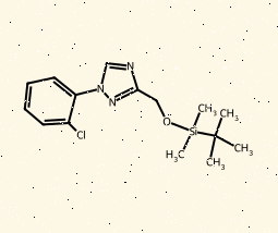 CC(C)(C)[Si](C)(C)OCc1ncn(-c2ccccc2Cl)n1